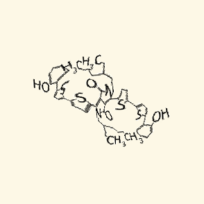 CCCCC(CC)CN1C(=O)C2=C(c3ccc(-c4ccc(-c5ccccc5O)s4)s3)N(CC(CC)CCCC)C(=O)C2=C1c1ccc(-c2ccc(-c3ccccc3O)s2)s1